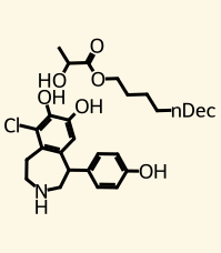 CCCCCCCCCCCCCCOC(=O)C(C)O.Oc1ccc(C2CNCCc3c2cc(O)c(O)c3Cl)cc1